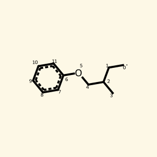 [CH2]CC(C)COc1ccccc1